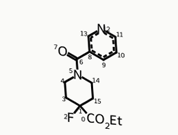 CCOC(=O)C1(F)CCN(C(=O)c2cccnc2)CC1